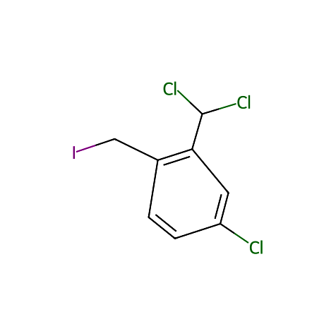 Clc1ccc(CI)c(C(Cl)Cl)c1